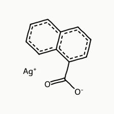 O=C([O-])c1cccc2ccccc12.[Ag+]